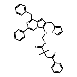 CC(C)(OC(=O)c1ccccc1)C(=O)OCOc1c(Cc2ccco2)nc2c(Sc3ccccc3)nc(-c3ccccc3)cn12